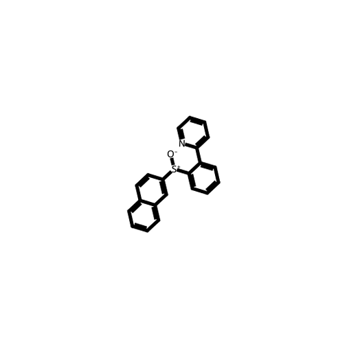 [O-][S+](c1ccc2ccccc2c1)c1ccccc1-c1ccccn1